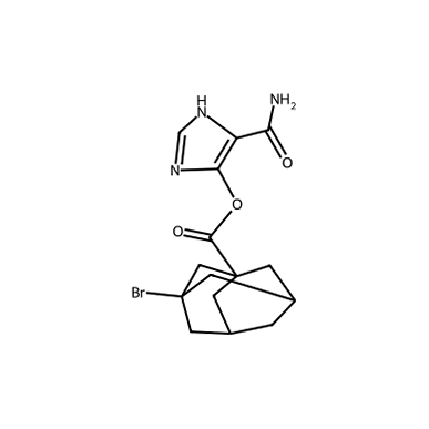 NC(=O)c1[nH]cnc1OC(=O)C12CC3CC(CC(Br)(C3)C1)C2